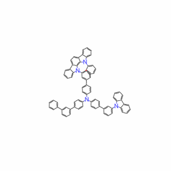 c1ccc(-c2cccc(-c3ccc(N(c4ccc(-c5cccc(-n6c7ccccc7c7ccccc76)c5)cc4)c4ccc(-c5cccc(-n6c7ccccc7c7ccc8c9ccccc9n(-c9ccccc9)c8c76)c5)cc4)cc3)c2)cc1